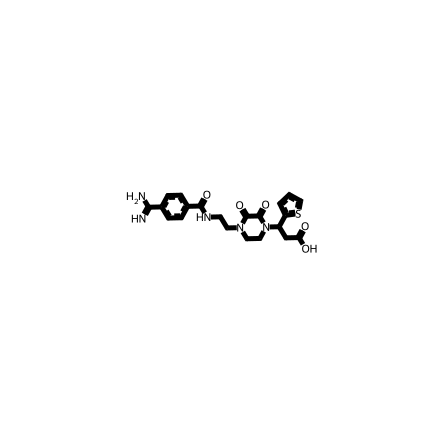 N=C(N)c1ccc(C(=O)NCCN2CCN(C(CC(=O)O)c3cccs3)C(=O)C2=O)cc1